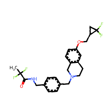 CC(F)(F)C(=O)NCc1ccc(CN2CCc3cc(OCC4CC4(F)F)ccc3C2)cc1